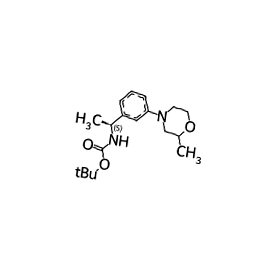 CC1CN(c2cccc([C@H](C)NC(=O)OC(C)(C)C)c2)CCO1